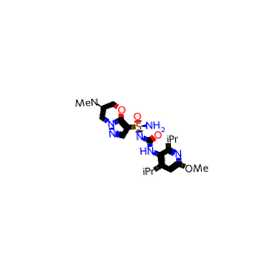 CN[C@@H]1COc2c([S@](N)(=O)=NC(=O)Nc3c(C(C)C)cc(OC)nc3C(C)C)cnn2C1